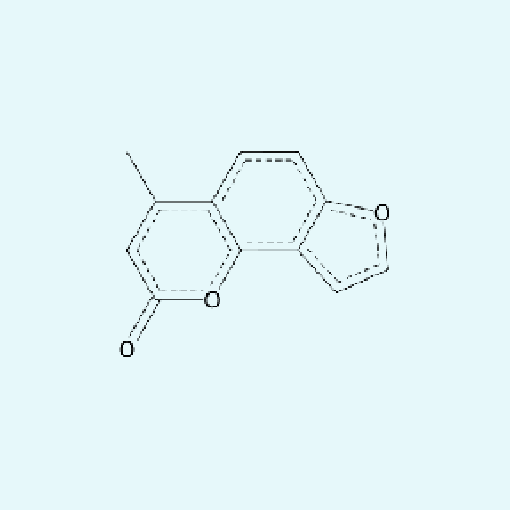 Cc1cc(=O)oc2c1ccc1occc12